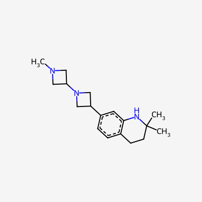 CN1CC(N2CC(c3ccc4c(c3)NC(C)(C)CC4)C2)C1